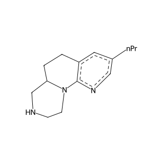 CCCc1cnc2c(c1)CCC1CNCCN21